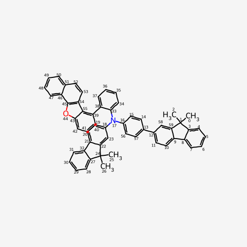 CC1(C)c2ccccc2-c2ccc(-c3ccc(N(c4ccc5c(c4)C(C)(C)c4ccccc4-5)c4ccccc4-c4cccc5oc6c7ccccc7ccc6c45)cc3)cc21